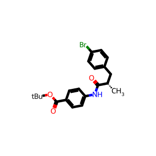 C[C@@H](Cc1ccc(Br)cc1)C(=O)Nc1ccc(C(=O)OC(C)(C)C)cc1